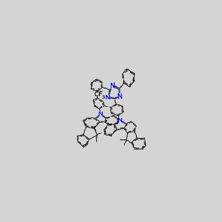 CC1(C)c2ccccc2-c2ccc3c(c21)c1ccccc1n3-c1ccc(-c2nc(-c3ccccc3)nc(-c3ccccc3)n2)c(-c2cc(C(F)(F)F)ccc2-n2c3ccccc3c3c4c(ccc32)-c2ccccc2C4(C)C)c1